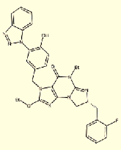 CCOc1nc2c(n1Cc1ccc(O)c(-n3nnc4ccccc43)c1)C(=O)N(CC)C1=N[C@H](Cc3ccccc3F)CN12